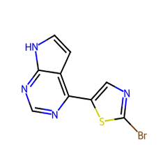 Brc1ncc(-c2ncnc3[nH]ccc23)s1